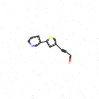 O=CC#Cc1csc(-c2cccnc2)c1